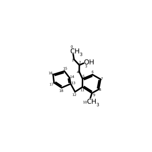 CCC(O)Cc1cccc(C)c1Cc1ccccc1